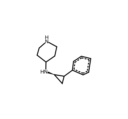 c1ccc(C2C[C@H]2NC2CCNCC2)cc1